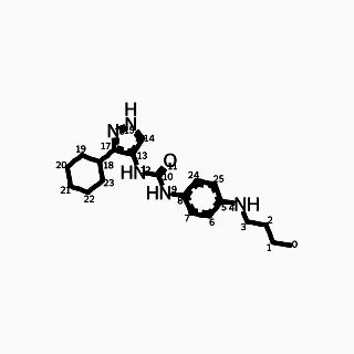 CCCCNc1ccc(NC(=O)Nc2c[nH]nc2C2CCCCC2)cc1